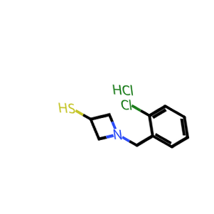 Cl.SC1CN(Cc2ccccc2Cl)C1